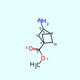 COC(=O)C12CC(N)C(C1)C2